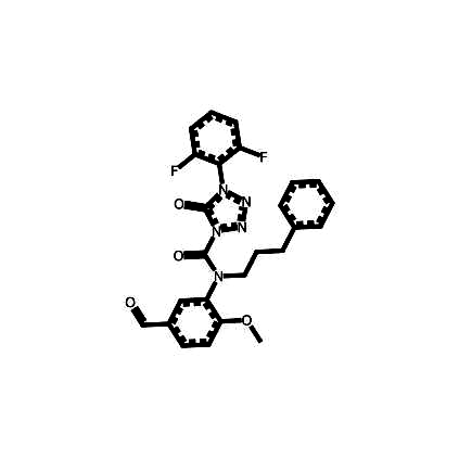 COc1ccc(C=O)cc1N(CCCc1ccccc1)C(=O)n1nnn(-c2c(F)cccc2F)c1=O